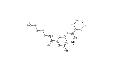 CCN(Cc1cc(C(=O)NCCCCO)cc(Br)c1N)C1CCCCC1